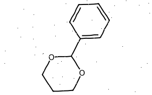 [c]1ccccc1C1OCCCO1